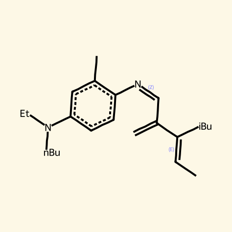 C=C(/C=N\c1ccc(N(CC)CCCC)cc1C)/C(=C/C)C(C)CC